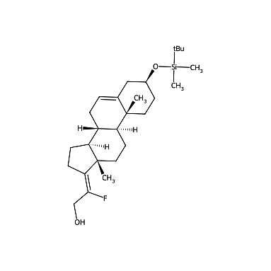 CC(C)(C)[Si](C)(C)O[C@H]1CC[C@@]2(C)C(=CC[C@@H]3[C@@H]2CC[C@]2(C)/C(=C(\F)CO)CC[C@@H]32)C1